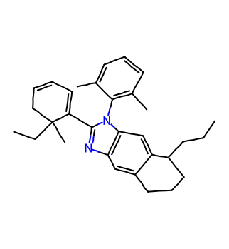 CCCC1CCCc2cc3nc(C4=CC=CCC4(C)CC)n(-c4c(C)cccc4C)c3cc21